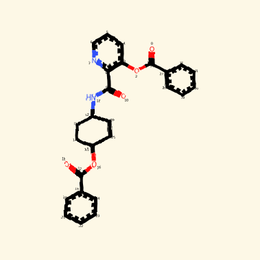 O=C(Oc1cccnc1C(=O)NC1CCC(OC(=O)c2ccccc2)CC1)c1ccccc1